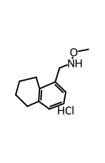 CONCc1cccc2c1CCCC2.Cl